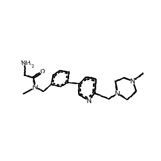 CN1CCN(Cc2ccc(-c3cccc(CN(C)C(=O)CN)c3)cn2)CC1